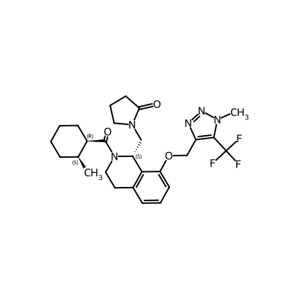 C[C@H]1CCCC[C@H]1C(=O)N1CCc2cccc(OCc3nnn(C)c3C(F)(F)F)c2[C@H]1CN1CCCC1=O